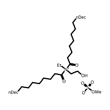 CCCCCCCCCCCCCCCCCC(=O)[N+](CC)(CCO)C(=O)CCCCCCCCCCCCCCCCC.COS(=O)(=O)[O-]